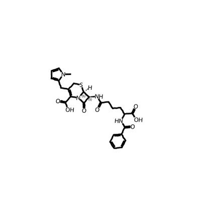 Cn1cccc1CC1=C(C(=O)O)N2C(=O)[C@H](NC(=O)CCCC(NC(=O)c3ccccc3)C(=O)O)[C@@H]2SC1